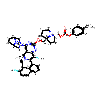 C#Cc1c(F)ccc2cccc(-c3ncc4c(N5CC6CCC(C5)N6C(=O)O)nc(OC[C@@]56CCCN5[C@H](COC(=O)Oc5ccc([N+](=O)[O-])cc5)CC6)nc4c3F)c12